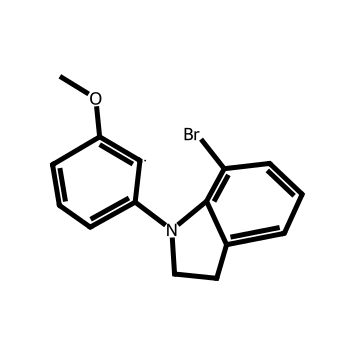 COc1[c]c(N2CCc3cccc(Br)c32)ccc1